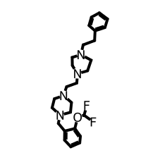 FC(F)Oc1ccccc1CN1CCN(CCN2CCN(CCc3ccccc3)CC2)CC1